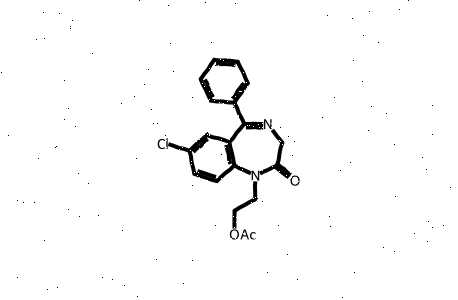 CC(=O)OCCN1C(=O)CN=C(c2ccccc2)c2cc(Cl)ccc21